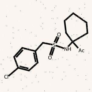 CC(=O)C1(NS(=O)(=O)Cc2ccc(Cl)cc2)CCCCC1